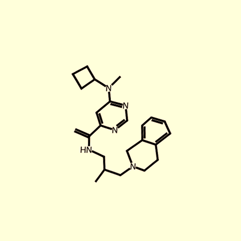 C=C(NCC(C)CN1CCc2ccccc2C1)c1cc(N(C)C2CCC2)ncn1